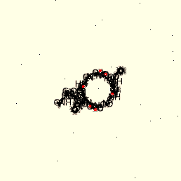 CC(=O)NCCOP(=O)(O)OP(=O)(O)OCOc1cc2ccccc2nc1C(=O)N[C@@H]1CNC(=O)[C@H](C(C)C)N(C)C(=O)CN(C)C(=O)CNC(=O)[C@@H]2CCCCN2C(=O)[C@H](NC(=O)OCc2ccccc2)CNC(=O)[C@H](C(C)C)N(C)C(=O)CN(C)C(=O)CNC(=O)[C@@H]2CCCCN2C1=O